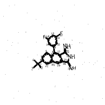 CC(C)(C)c1ccc2c(-c3cc(F)cc(F)c3)c3c(cc2c1)C(=N)NC3=N